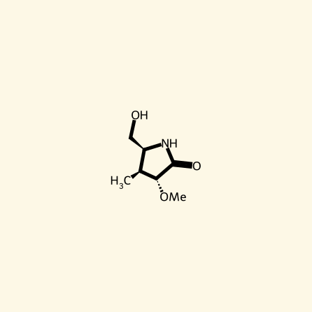 CO[C@H]1C(=O)N[C@H](CO)[C@@H]1C